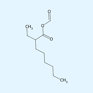 CCCCCCC(CC)C(=O)OC=O